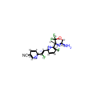 C[C@]1(c2nc(/C=C(\F)c3ccc(C#N)cn3)ccc2F)N=C(N)COC1(F)F